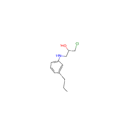 CCCc1cccc(NCC(O)CCl)c1